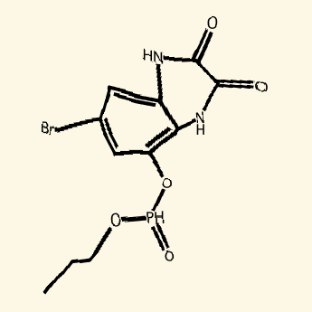 CCCO[PH](=O)Oc1cc(Br)cc2[nH]c(=O)c(=O)[nH]c12